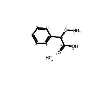 Cl.NOC(C(=O)O)c1ccccc1